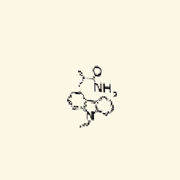 C=C(C)C(N)=O.C=Cn1c2ccccc2c2ccccc21